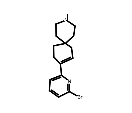 Brc1cccc(C2=CCC3(CCNCC3)CC2)n1